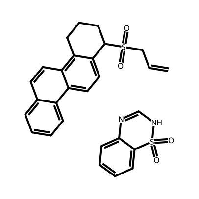 C=CCS(=O)(=O)C1CCCc2c1ccc1c2ccc2ccccc21.O=S1(=O)NC=Nc2ccccc21